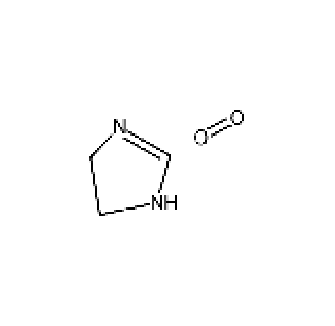 C1=NCCN1.O=O